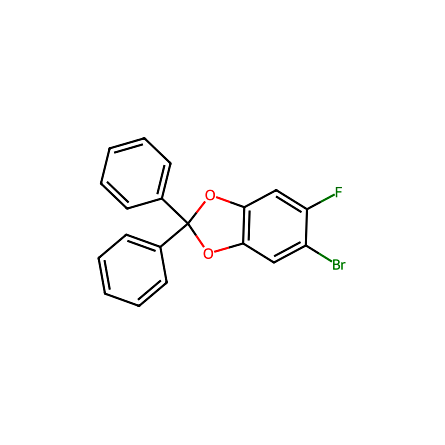 Fc1cc2c(cc1Br)OC(c1ccccc1)(c1ccccc1)O2